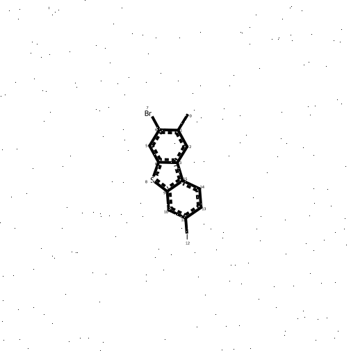 Cc1cc2c(cc1Br)sc1cc(I)ccc12